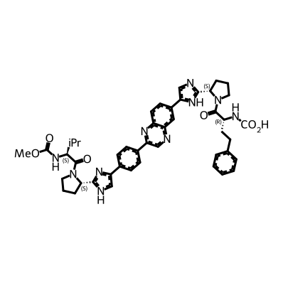 COC(=O)N[C@H](C(=O)N1CCC[C@H]1c1nc(-c2ccc(-c3cnc4cc(-c5cnc([C@@H]6CCCN6C(=O)[C@@H](CCc6ccccc6)NC(=O)O)[nH]5)ccc4n3)cc2)c[nH]1)C(C)C